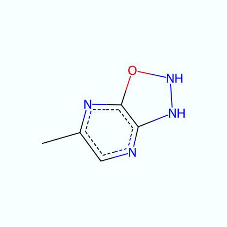 Cc1cnc2c(n1)ONN2